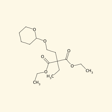 CCOC(=O)C(CC)(CCOC1CCCCO1)C(=O)OCC